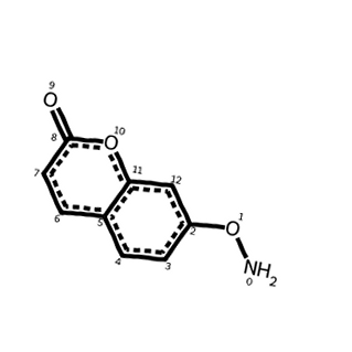 NOc1ccc2ccc(=O)oc2c1